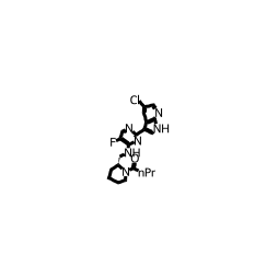 CCCC(=O)N1CCCC[C@@H]1CNc1nc(-c2c[nH]c3ncc(Cl)cc23)ncc1F